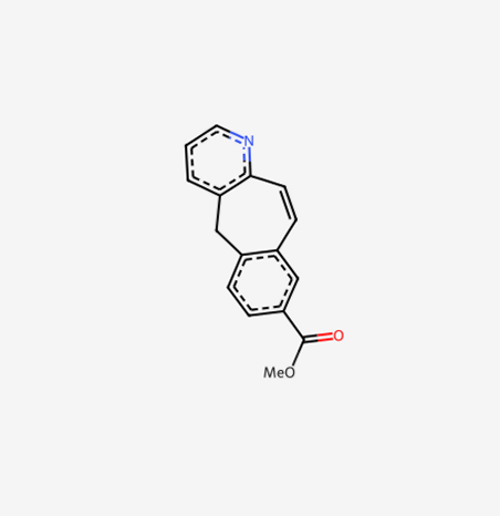 COC(=O)c1ccc2c(c1)C=Cc1ncccc1C2